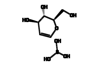 OB(O)O.OC[C@H]1OC=C[C@@H](O)[C@@H]1O